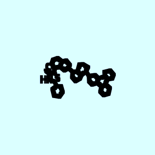 c1ccc(C2Nc3ccc4ccc5ccc(-c6cccc7c(-c8ccc9c%10ccccc%10c%10ccccc%10c9c8)cccc67)cc5c4c3S2)cc1